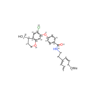 C=C/C=C(\C=C/COC)CCNC(=O)c1ccc(Oc2cc3c(cc2Cl)C(C(=O)O)CCO3)cc1